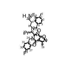 Cc1ccc(C(=O)N(CCCN)C(c2nc3onc(C)c3c(=O)n2Cc2ccc(F)cc2)C(C)C)cc1F